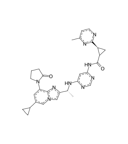 Cc1ccnc([C@H]2CC2C(=O)Nc2cc(N[C@H](C)c3cn4cc(C5CC5)cc(N5CCCC5=O)c4n3)ncn2)n1